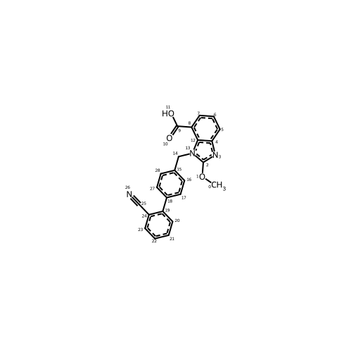 COc1nc2cccc(C(=O)O)c2n1Cc1ccc(-c2ccccc2C#N)cc1